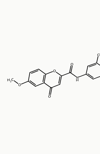 COc1ccc2oc(C(=O)Nc3cccc(C)c3)cc(=O)c2c1